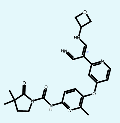 Cc1nc(NC(=O)N2CCC(C)(C)C2=O)ccc1Oc1ccnc(/C(C=N)=C/NC2COC2)c1